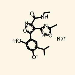 CCNC(=O)c1noc(-c2cc(C(C)C)c([O-])cc2O)c1-c1noc(C)n1.[Na+]